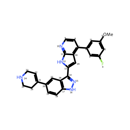 COc1cc(F)cc(-c2ccnc3[nH]c(-c4n[nH]c5ccc(C6=CCNCC6)cc45)cc23)c1